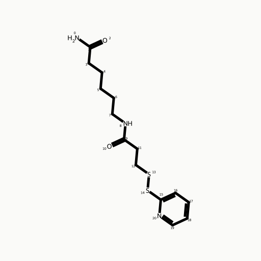 NC(=O)CCCCCNC(=O)CCSSc1ccccn1